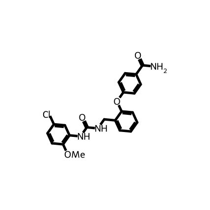 COc1ccc(Cl)cc1NC(=O)NCc1ccccc1Oc1ccc(C(N)=O)cc1